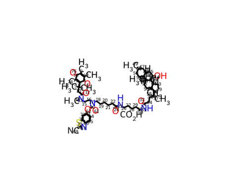 CC1=C(C)C(=O)C(C(C)(C)CC(=O)N(C)CCN(CCCCCC(=O)NCCCCC(NC(=O)CC[C@@H](C)[C@H]2CC[C@H]3[C@@H]4[C@@H](O)C[C@@H]5C[C@H](C)CC[C@]5(C)[C@H]4CC[C@]23C)C(=O)O)C(=O)Oc2ccc3nc(C#N)sc3c2)=C(C)C1=O